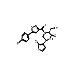 CC(C)C[C@H]1C(=O)N[C@@H](c2ccsc2Cl)CN1C(=O)c1cc(-c2ccc(F)cc2)on1